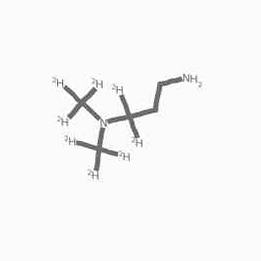 [2H]C([2H])([2H])N(C([2H])([2H])[2H])C([2H])([2H])CCN